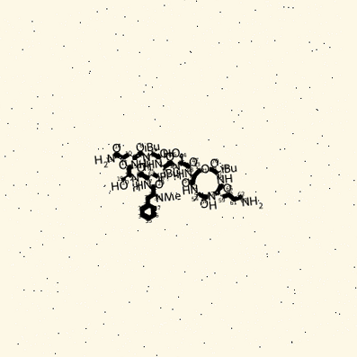 CC[C@H](C)[C@H](NC(=O)[C@H](NC(=O)[C@@H](CCC(N)=O)NC(=O)[C@H](CO)NC(=O)[C@H](CC(C)C)NC(=O)[C@@H](Cc1ccccc1)NC)[C@@H](C)CC)C(=O)N[C@@H](CO)C(=O)N[C@H]1C(=O)N[C@@H](C)C(=O)N[C@@H](CCCCN)C(=O)N[C@@H]([C@@H](C)CC)C(=O)O[C@H]1C